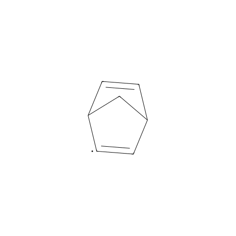 [C]1=CC2C=CC1C2